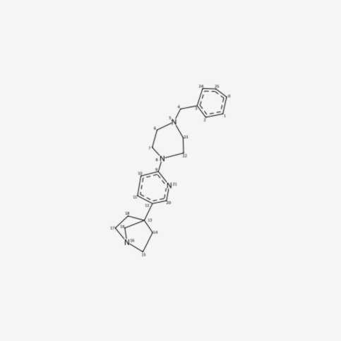 c1ccc(CN2CCN(c3ccc(C45CCN(CC4)C5)cn3)CC2)cc1